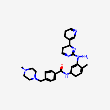 CC1=CCC(NC(=O)c2ccc(CN3CCN(C)CC3)cc2)C=C1N(N)C1=NC(C2=CN=CCC2)CC=N1